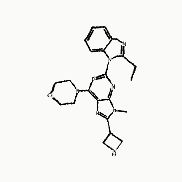 CCc1nc2ccccc2n1-c1nc(N2CCOCC2)c2nc(C3CNC3)n(C)c2n1